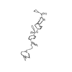 CN1CCN(CCCNc2ccc(S(=O)(=O)Oc3ccc4[nH]c(N(C=O)C5CC5)nc4c3)cc2)CC1